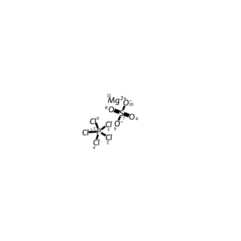 ClP(Cl)(Cl)(Cl)Cl.O=S(=O)([O-])[O-].[Mg+2]